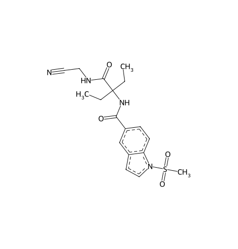 CCC(CC)(NC(=O)c1ccc2c(ccn2S(C)(=O)=O)c1)C(=O)NCC#N